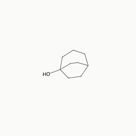 OC12CCCC(CC1)CC2